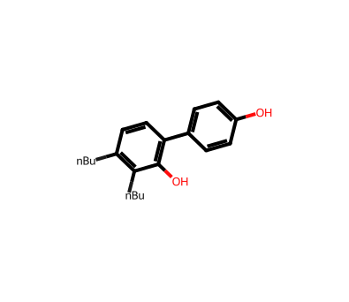 CCCCc1ccc(-c2ccc(O)cc2)c(O)c1CCCC